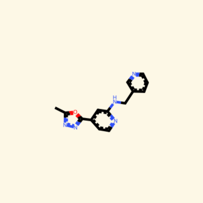 Cc1nnc(-c2ccnc(NCc3cccnc3)c2)o1